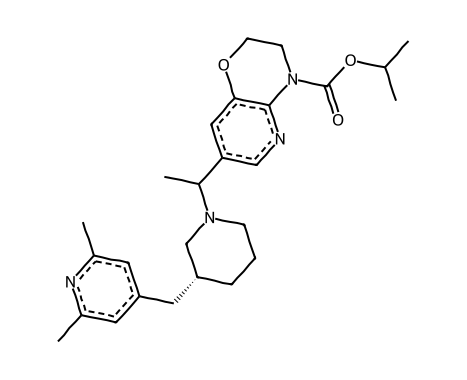 Cc1cc(C[C@H]2CCCN(C(C)c3cnc4c(c3)OCCN4C(=O)OC(C)C)C2)cc(C)n1